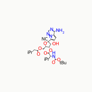 CC(C)CC(=O)OC[C@H]1O[C@@](C#N)(c2ccc3c(N)ncnn23)[C@H](O)[C@@H]1OC(=O)[C@@H](NC(=O)OC(C)(C)C)C(C)C